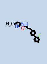 Cc1ccc(NC(=O)CCCc2ccc(-c3ccccc3F)cc2)cn1